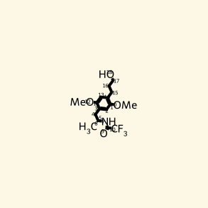 COc1cc(C[C@@H](C)NC(=O)C(F)(F)F)c(OC)cc1CCCO